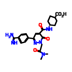 CN(C)C(=O)Cn1nc(-c2ccc(C(=N)N)cc2)cc(C(=O)N[C@H]2CC[C@H](C(=O)O)CC2)c1=O